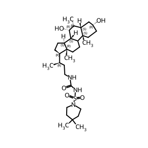 C[C@H]1[C@@H](O)[C@@H]2C(CC[C@]3(C)[C@@H]([C@H](C)CCNC(=O)NS(=O)(=O)N4CCC(C)(C)CC4)CC[C@@H]23)[C@@]2(C)CC[C@@H](O)C[C@@H]12